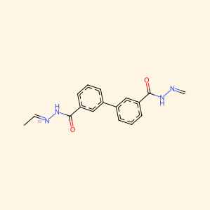 C=NNC(=O)c1cccc(-c2cccc(C(=O)N/N=C/C)c2)c1